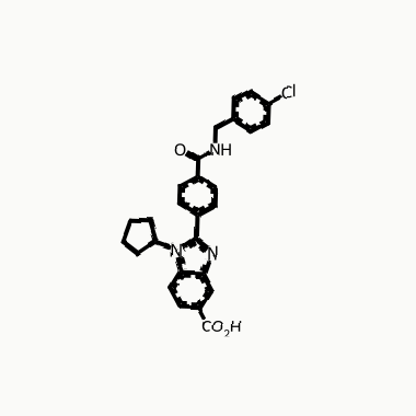 O=C(O)c1ccc2c(c1)nc(-c1ccc(C(=O)NCc3ccc(Cl)cc3)cc1)n2C1CCCC1